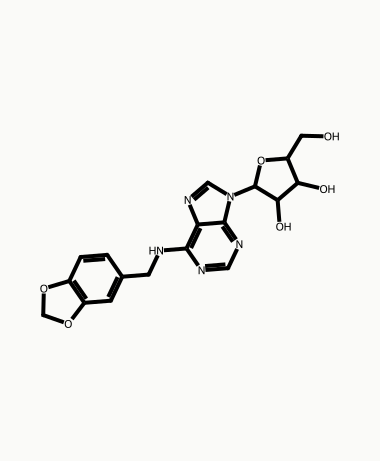 OCC1OC(n2cnc3c(NCc4ccc5c(c4)OCO5)ncnc32)C(O)C1O